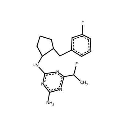 CC(F)c1nc(N)nc(NC2CCCC2Cc2cccc(F)c2)n1